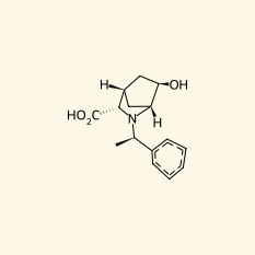 C[C@H](c1ccccc1)N1[C@@H]2C[C@@H](C[C@H]2O)[C@H]1C(=O)O